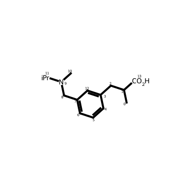 CC(Cc1cccc(CN(C)C(C)C)c1)C(=O)O